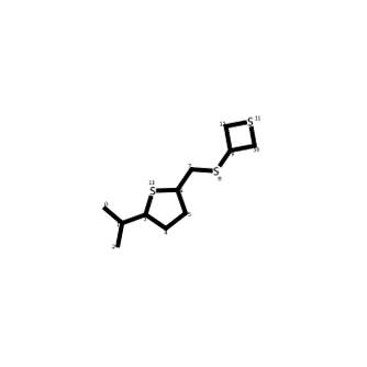 CC(C)C1CCC(CSC2CSC2)S1